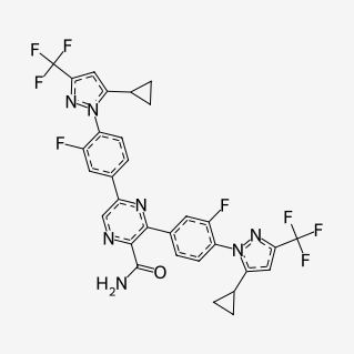 NC(=O)c1ncc(-c2ccc(-n3nc(C(F)(F)F)cc3C3CC3)c(F)c2)nc1-c1ccc(-n2nc(C(F)(F)F)cc2C2CC2)c(F)c1